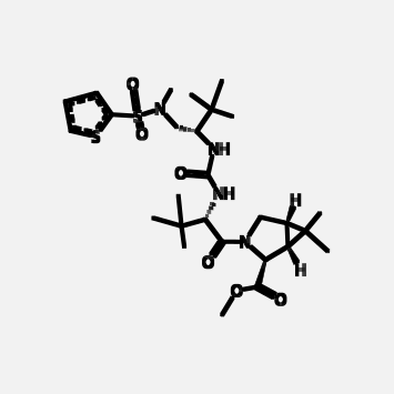 COC(=O)[C@@H]1[C@@H]2[C@H](CN1C(=O)[C@@H](NC(=O)N[C@H](CN(C)S(=O)(=O)c1cccs1)C(C)(C)C)C(C)(C)C)C2(C)C